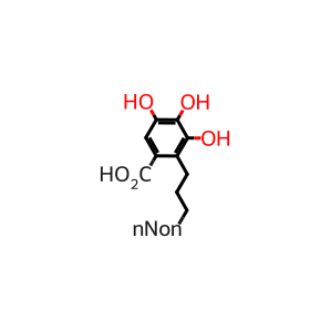 CCCCCCCCCCCCc1c(C(=O)O)cc(O)c(O)c1O